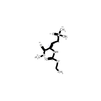 CCOC(=O)N/C(=C\CP(C)(=O)O)C(=O)OC